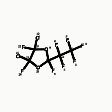 FC(F)(F)C(F)(F)C1(F)OC(F)(Cl)C(F)(Cl)O1